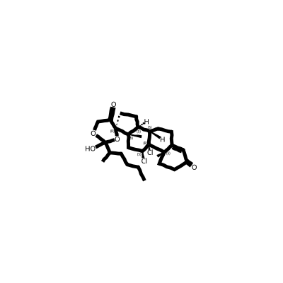 CCCCC(C)C1(O)OCC(=O)[C@]2(CC[C@H]3[C@@H]4CCC5=CC(=O)CC[C@]5(C)[C@@]4(Cl)[C@@H](Cl)C[C@@]32C)O1